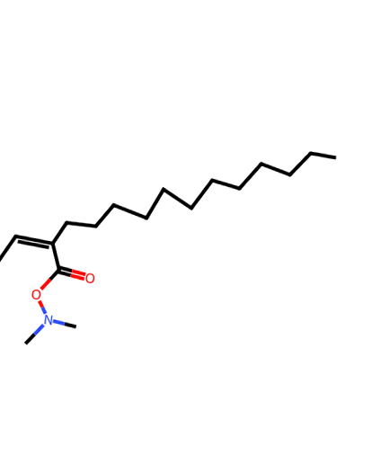 CC=C(CCCCCCCCCCCC)C(=O)ON(C)C